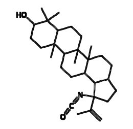 C=C(C)C1(N=C=O)CCC2CCC3(C)C(CCC4C5(C)CCC(O)C(C)(C)C5CCC43C)C21